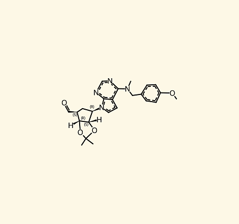 COc1ccc(CN(C)c2ncnc3c2ccn3[C@@H]2C[C@H](C=O)[C@H]3OC(C)(C)O[C@H]32)cc1